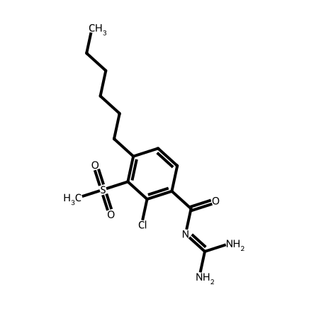 CCCCCCc1ccc(C(=O)N=C(N)N)c(Cl)c1S(C)(=O)=O